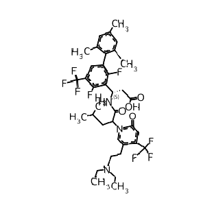 CCN(CC)CCc1cn(C(CC(C)C)C(=O)N[C@@H](CC(=O)O)c2c(F)c(-c3c(C)cc(C)cc3C)cc(C(F)(F)F)c2F)c(=O)cc1C(F)(F)F